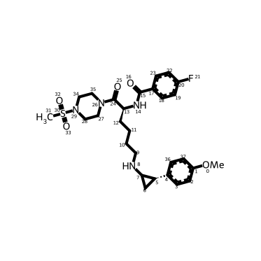 COc1ccc([C@@H]2CC2NCCCC[C@H](NC(=O)c2ccc(F)cc2)C(=O)N2CCN(S(C)(=O)=O)CC2)cc1